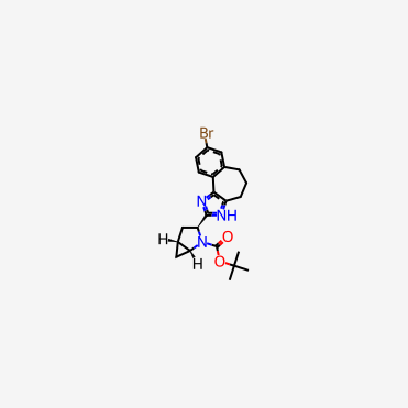 CC(C)(C)OC(=O)N1[C@@H]2C[C@@H]2C[C@H]1c1nc2c([nH]1)CCCc1cc(Br)ccc1-2